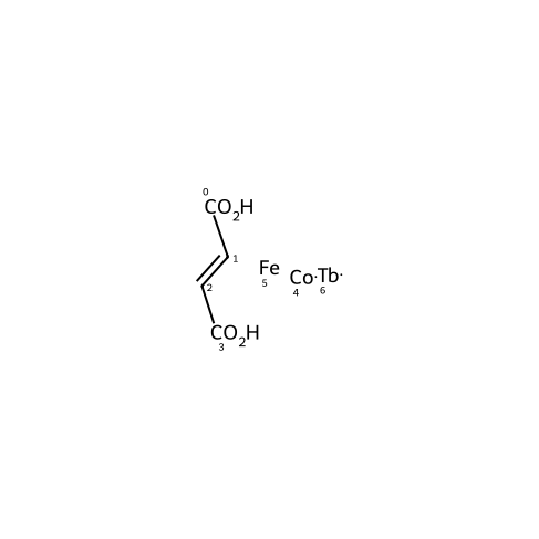 O=C(O)/C=C/C(=O)O.[Co].[Fe].[Tb]